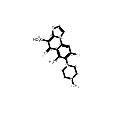 Cc1c(N2CCN(C)CC2)c(Cl)cc2c1c(=O)c(C(=O)O)c1sccn12